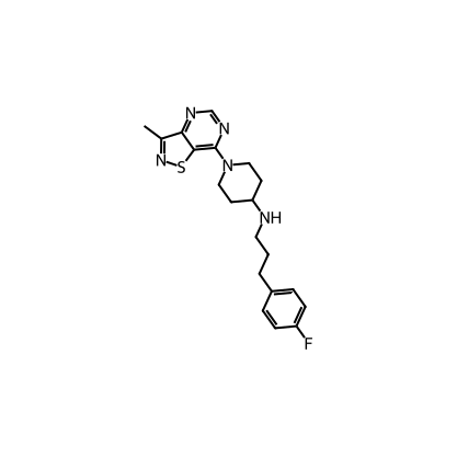 Cc1nsc2c(N3CCC(NCCCc4ccc(F)cc4)CC3)ncnc12